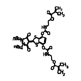 C=C(C)C(=O)OCCNC(=O)Oc1ccc(OC(=O)NCCOC(=O)C(=C)C)c2c1SC(=C1C(=O)N(CCCC)N(CCCC)C1=O)S2